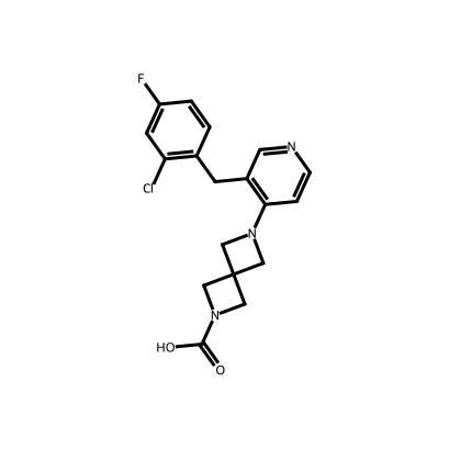 O=C(O)N1CC2(C1)CN(c1ccncc1Cc1ccc(F)cc1Cl)C2